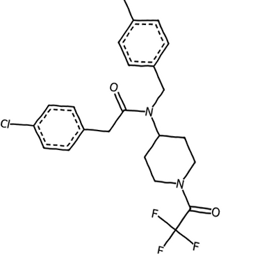 Cc1ccc(CN(C(=O)Cc2ccc(Cl)cc2)C2CCN(C(=O)C(F)(F)F)CC2)cc1